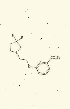 CCOC(=O)c1cccc(OCCN2CCC(F)(F)C2)c1